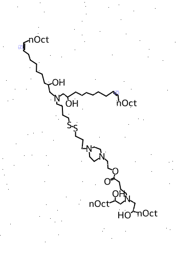 CCCCCCCC/C=C\CCCCCCC(O)CN(CCCCSSCCCN1CCN(CCOC(=O)CCCN(CC(O)CCCCCCCC)CC(O)CCCCCCCC)CC1)CC(O)CCCCCC/C=C\CCCCCCCC